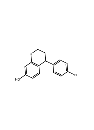 Oc1ccc(C2CCOc3cc(O)ccc32)cc1